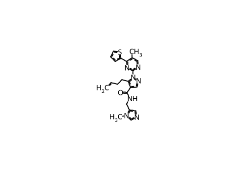 C=CCCc1c(C(=O)NCc2cncn2C)cnn1-c1ncc(C)c(-c2cccs2)n1